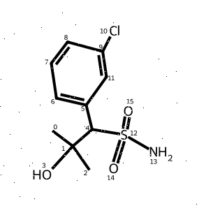 CC(C)(O)C(c1cccc(Cl)c1)S(N)(=O)=O